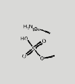 CC(C)(C)C.COS(=O)(=O)O.N